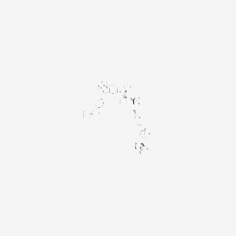 CCCN(C(=O)[C@@H]1CCN(CC(=O)N2CC=C(c3ncc(-c4ncn(C)n4)s3)CC2)C1)c1ccc2[nH]nc(-c3ccc(OC(C)C)cc3)c2c1